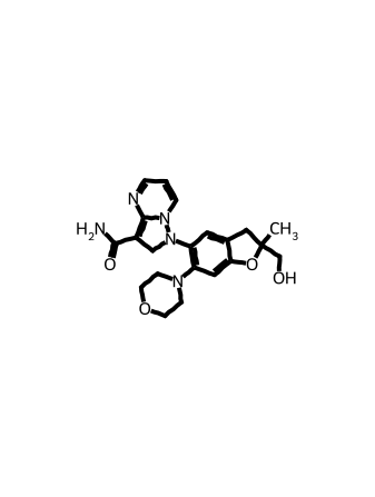 CC1(CO)Cc2cc(N3CC(C(N)=O)=C4N=CC=CN43)c(N3CCOCC3)cc2O1